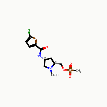 CS(=O)(=O)OC[C@@H]1C[C@@H](NC(=O)c2ccc(Cl)s2)CN1C(=O)O